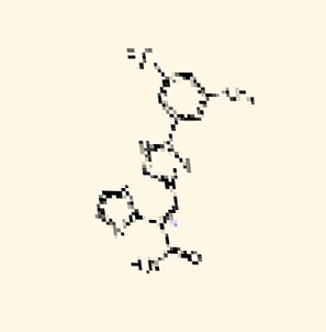 NC(=O)/C(=C/n1cnc(-c2cc(C(F)(F)F)cc(C(F)(F)F)c2)n1)c1nccs1